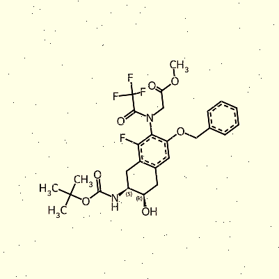 COC(=O)CN(C(=O)C(F)(F)F)c1c(OCc2ccccc2)cc2c(c1F)C[C@H](NC(=O)OC(C)(C)C)[C@H](O)C2